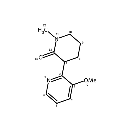 COc1cccnc1C1CCCN(C)C1=O